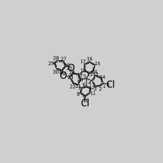 Clc1ccc(C2(c3ccc(Cl)cc3)c3ccccc3-c3c2ccc2c3Oc3ccccc3O2)cc1